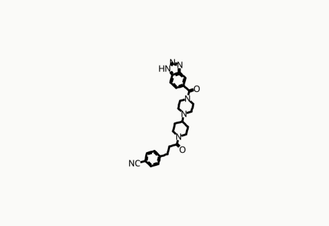 N#Cc1ccc(CCC(=O)N2CCC(N3CCN(C(=O)c4ccc5[nH]nnc5c4)CC3)CC2)cc1